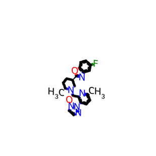 Cc1ccc(-n2nccn2)c(C(=O)N2C[C@H](c3nc4cc(F)ccc4o3)CC[C@H]2C)n1